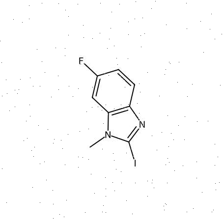 Cn1c(I)nc2ccc(F)cc21